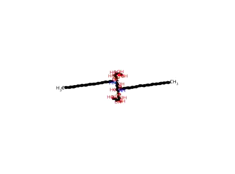 CC#CC#CC#CC#CC#CC#CC#CC#CC#CC#CC#CC#CC(=O)N[C@@H](CO[C@H]1OC(CO)[C@H](O)[C@H](O)C1O)[C@H](O)CC[C@@H](O)[C@H](CO[C@H]1OC(CO)[C@H](O)[C@H](O)C1O)NC(=O)C#CC#CC#CC#CC#CC#CC#CC#CC#CC#CC#CC#CC